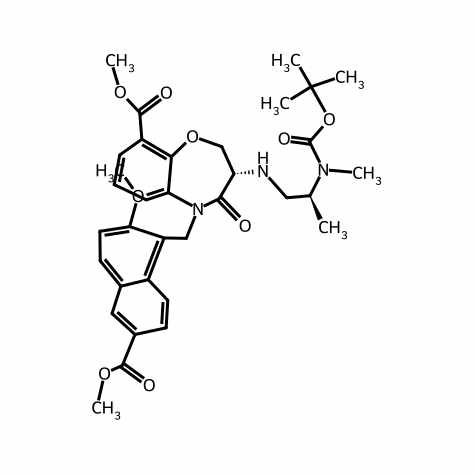 COC(=O)c1ccc2c(CN3C(=O)[C@@H](NC[C@H](C)N(C)C(=O)OC(C)(C)C)COc4c(C(=O)OC)cccc43)c(OC)ccc2c1